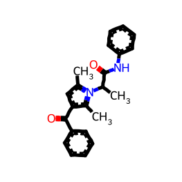 Cc1cc(C(=O)c2ccccc2)c(C)n1C(C)C(=O)Nc1ccccc1